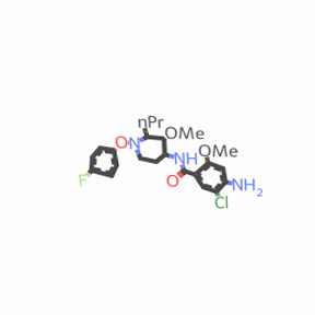 CCCC1C(OC)C(NC(=O)c2cc(Cl)c(N)cc2OC)CCN1Oc1ccc(F)cc1